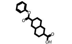 O=C(O)C1CCC2CC(C(=O)Oc3ccccc3)CCC2C1